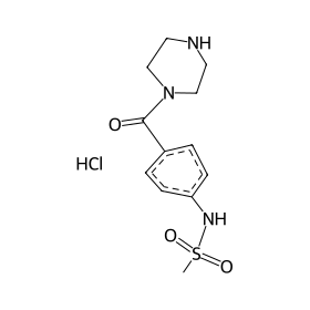 CS(=O)(=O)Nc1ccc(C(=O)N2CCNCC2)cc1.Cl